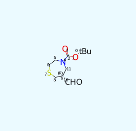 CC(C)(C)OC(=O)N1CCSC[C@@H](C=O)C1